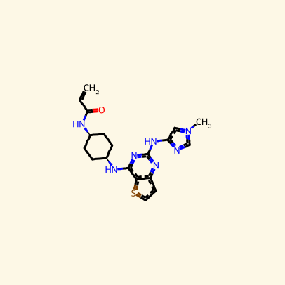 C=CC(=O)N[C@H]1CC[C@@H](Nc2nc(Nc3cn(C)cn3)nc3ccsc23)CC1